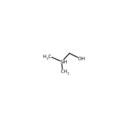 C[SiH](C)CO